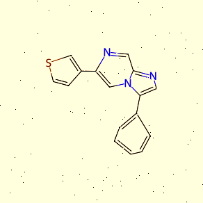 c1ccc(-c2cnc3cnc(-c4ccsc4)cn23)cc1